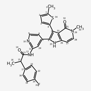 Cc1ccc(-c2c(-c3ccnc(NC(=O)C(C)c4ccc(F)cc4)c3)[nH]c3ccn(C)c(=O)c23)s1